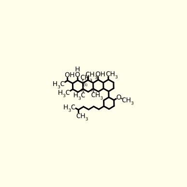 COC1CCC(CCCCC(C)C)CC1C1CCC(C)C2C(O)C3C(C)[C@]4(C)C(O)C(C(C)O)C(C)C[C@]4(C)C[C@]3(C)CC12